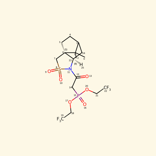 CC1(C)C2CC[C@]13CS(=O)(=O)N(C(=O)CP(=O)(OCC(F)(F)F)OCC(F)(F)F)[C@@H]3C2